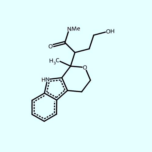 CNC(=O)C(CCO)C1(C)OCCc2c1[nH]c1ccccc21